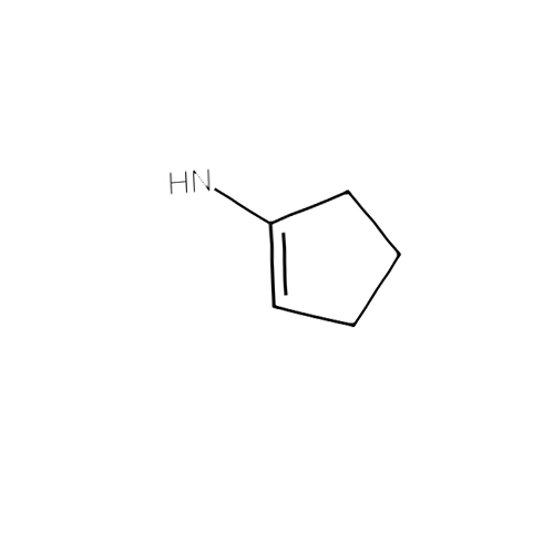 [NH]C1=CCCC1